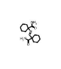 NC(=O)C1(N=NC2(C(N)=O)CCCCC2)CCCCC1